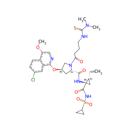 C=C[C@@H]1C[C@]1(NC(=O)[C@@H]1C[C@@H](Oc2ncc(OC)c3ccc(Cl)cc23)CN1C(=O)CCCNC(=S)N(C)C)C(=O)NS(=O)(=O)C1CC1